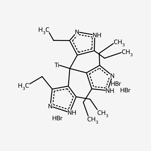 Br.Br.Br.CCc1n[nH]c(CC)c1[C]([Ti])(c1c(CC)n[nH]c1CC)c1c(CC)n[nH]c1CC